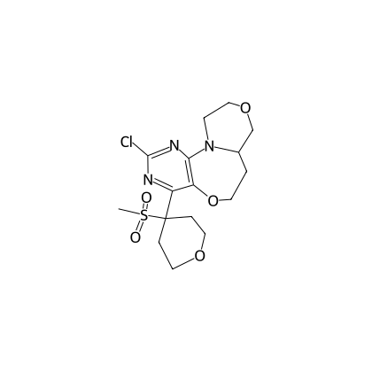 CS(=O)(=O)C1(c2nc(Cl)nc3c2OCCC2COCCN32)CCOCC1